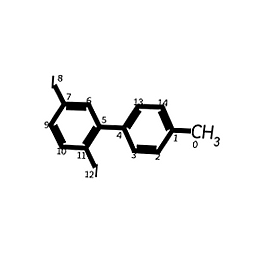 Cc1ccc(-c2cc(I)ccc2I)cc1